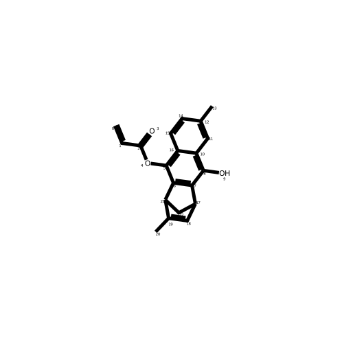 C=CC(=O)Oc1c2c(c(O)c3cc(C)ccc13)C1C=C(C)C2C1